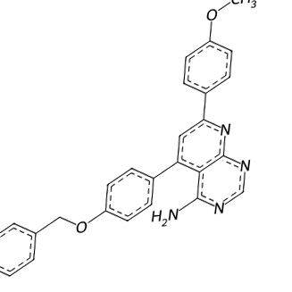 COc1ccc(-c2cc(-c3ccc(OCc4ccccc4)cc3)c3c(N)ncnc3n2)cc1